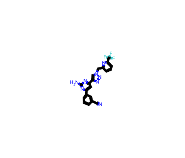 N#Cc1cccc(-c2cc(-c3cn(Cc4cccc(C(F)(F)F)n4)nn3)nc(N)n2)c1